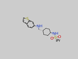 CC(C)S(=O)(=O)N[C@H]1CC[C@H](CNc2ccc3ccsc3c2)CC1